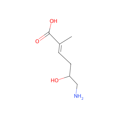 C/C(=C\CC(O)CN)C(=O)O